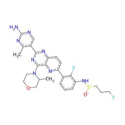 Cc1nc(N)ncc1-c1nc(N2CCOCC2C)c2nc(-c3cccc(N[S+]([O-])CCCF)c3F)ccc2n1